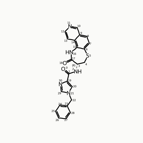 O=C(N[C@H]1CSc2ccc3cnccc3c2NC1=O)c1cn(Cc2ccccc2)cn1